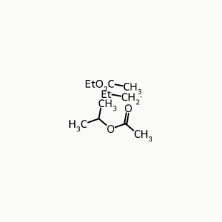 CC(=O)OC(C)C.CCOC(C)=O.[CH2]CC